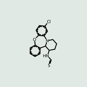 S=CNC1CCCN2c3cc(Cl)ccc3Oc3ccccc3C12